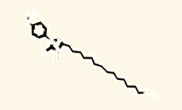 CCCCCCCCCCCCCCCc1nn(-c2ccc(OC)cc2)c(=S)[nH]1